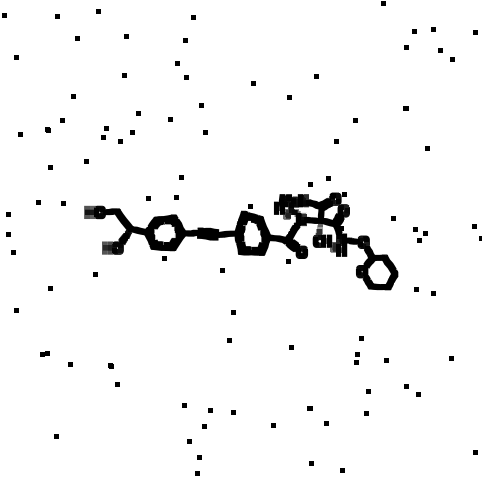 CNC(=O)[C@@](C)(C(=O)NOC1CCCCO1)N(C)C(=O)c1ccc(C#Cc2ccc([C@@H](O)CO)cc2)cc1